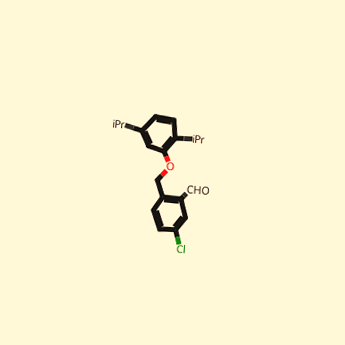 CC(C)c1ccc(C(C)C)c(OCc2ccc(Cl)cc2C=O)c1